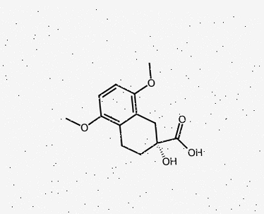 COc1ccc(OC)c2c1CC[C@](O)(C(=O)O)C2